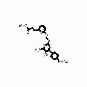 COC(=O)CCc1cccc(OCSc2nc(N)c(C#N)c(-c3ccc(NC(C)=O)cc3)n2)n1